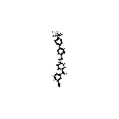 CS(=O)(=O)c1ccc(-c2ccc(OCC3CCN(C(=O)c4cccc(C#N)c4)CC3)nc2)cc1